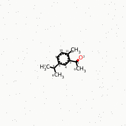 CC(=O)c1cc(C(C)C)ccc1C